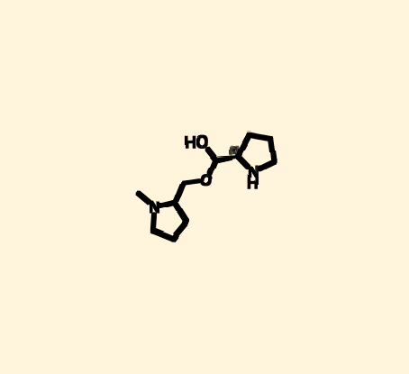 CN1CCCC1COC(O)[C@H]1CCCN1